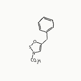 O=C(O)N1C=C(Cc2ccccc2)OS1